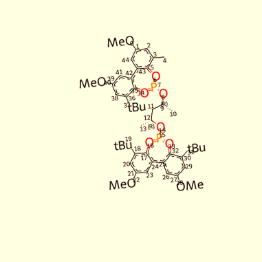 COc1cc(C)c2op(O[C@H](C)C[C@@H](C)Op3oc4c(C(C)(C)C)cc(OC)cc4c4cc(OC)cc(C(C)(C)C)c4o3)oc3c(C(C)(C)C)cc(OC)cc3c2c1